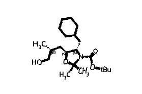 C[C@@H](CO)C[C@@H]1OC(C)(C)N(C(=O)OC(C)(C)C)[C@H]1CC1CCCCC1